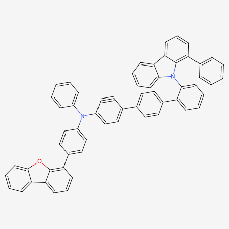 c1c(-c2ccc(-c3ccccc3-n3c4ccccc4c4cccc(-c5ccccc5)c43)cc2)ccc(N(c2ccccc2)c2ccc(-c3cccc4c3oc3ccccc34)cc2)c#1